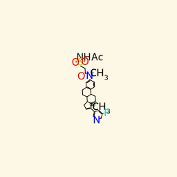 CC(=O)NS(=O)(=O)CCC(=O)N(C)c1ccc2c(c1)CCC1C2CC[C@]2(C)C(c3cncc(F)c3)=CCC12